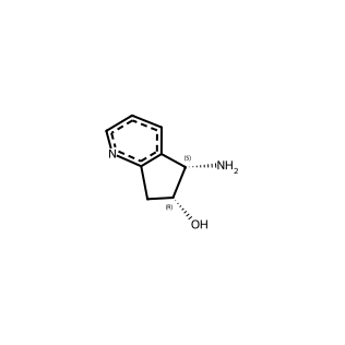 N[C@H]1c2cccnc2C[C@H]1O